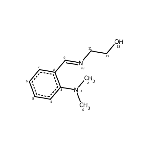 CN(C)c1ccccc1/C=N/CCO